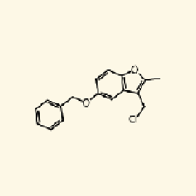 Cc1oc2ccc(OCc3ccccc3)cc2c1CCl